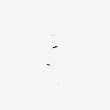 CCCCCCCCCCOC(=O)NCC(=O)NC(C)P(O)O